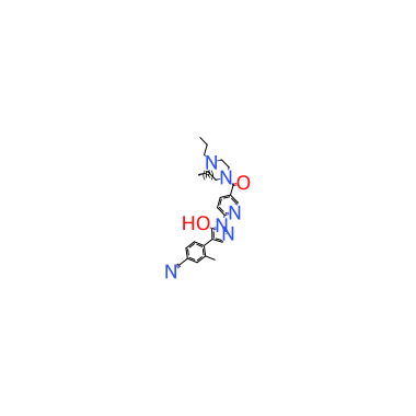 CCCN1CCN(C(=O)c2ccc(-n3ncc(-c4ccc(C#N)cc4C)c3O)nc2)C[C@H]1C